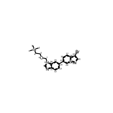 C[Si](C)(C)CCOCn1cnc2ccc(-c3ccc4c(Br)cnn4c3)cc21